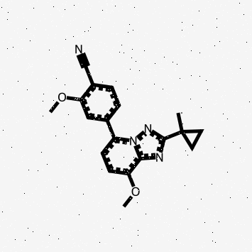 [CH2]C1(c2nc3c(OC)ccc(-c4ccc(C#N)c(OC)c4)n3n2)CC1